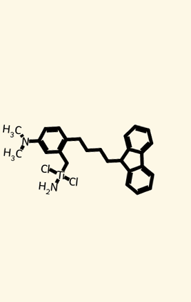 CN(C)c1ccc(CCCCC2c3ccccc3-c3ccccc32)c([CH2][Ti]([NH2])([Cl])[Cl])c1